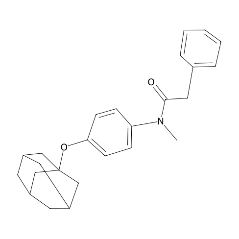 CN(C(=O)Cc1ccccc1)c1ccc(OC23CC4CC(CC(C4)C2)C3)cc1